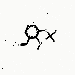 COc1c(C=O)cccc1OC(C)(F)F